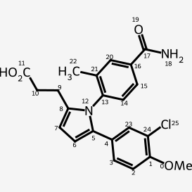 COc1ccc(-c2ccc(CCC(=O)O)n2-c2ccc(C(N)=O)cc2C)cc1Cl